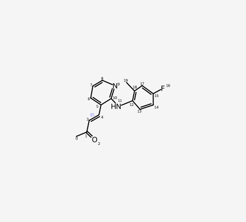 CC(=O)/C=C/c1cccnc1Nc1ccc(F)cc1C